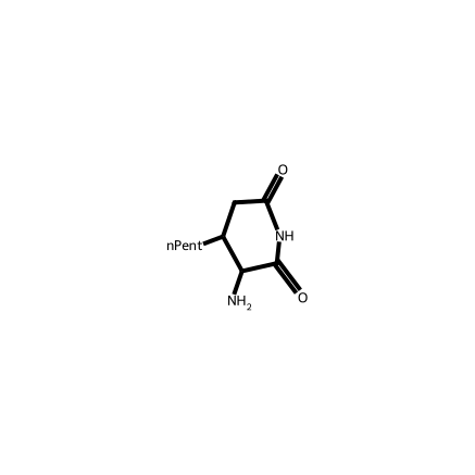 CCCCCC1CC(=O)NC(=O)C1N